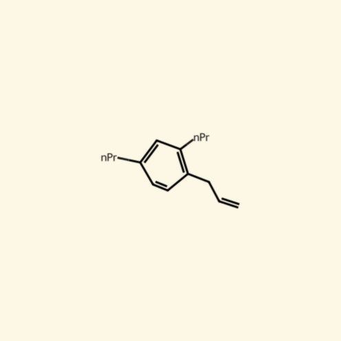 C=CCc1ccc(CCC)cc1CCC